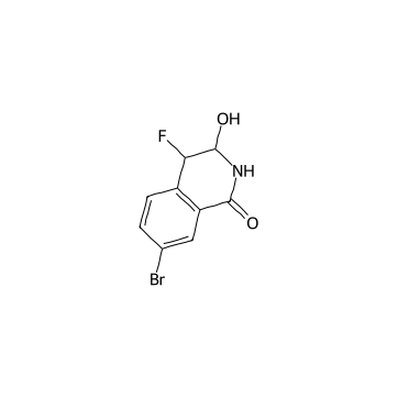 O=C1NC(O)C(F)c2ccc(Br)cc21